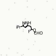 CC(C)c1cc(CC(F)OC=O)[nH]n1